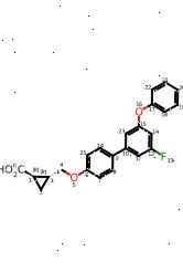 O=C(O)[C@@H]1C[C@H]1COc1ccc(-c2cc(F)cc(Oc3ccccc3)c2)cc1